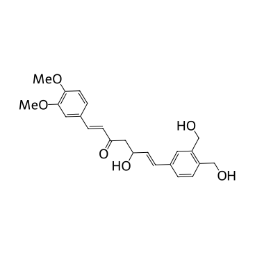 COc1ccc(/C=C/C(=O)CC(O)/C=C/c2ccc(CO)c(CO)c2)cc1OC